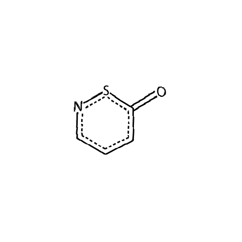 O=c1cccns1